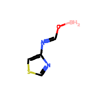 BOC=Nc1cscn1